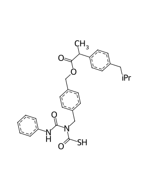 CC(C)Cc1ccc(C(C)C(=O)OCc2ccc(CN(C(=O)S)C(=O)Nc3ccccc3)cc2)cc1